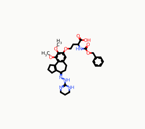 COc1c(OCCC(NC(=O)OCc2ccccc2)C(=O)O)cc2c(c1OC)C1=C(CCC1)C(=NNC1=NCCCN1)CC2